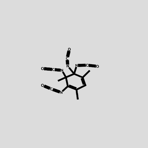 CC1=CC(C)=C(N=C=O)C(C)(N=C=O)C1(N=C=O)N=C=O